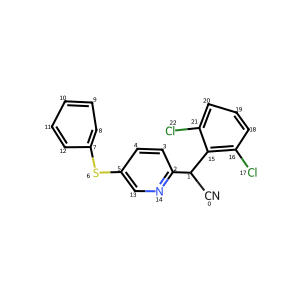 N#CC(c1ccc(Sc2ccccc2)cn1)c1c(Cl)cccc1Cl